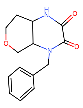 O=C1NC2CCOCC2N(Cc2ccccc2)C1=O